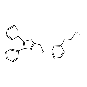 O=C(O)COc1cccc(OCc2nc(-c3ccccc3)c(-c3ccccc3)o2)c1